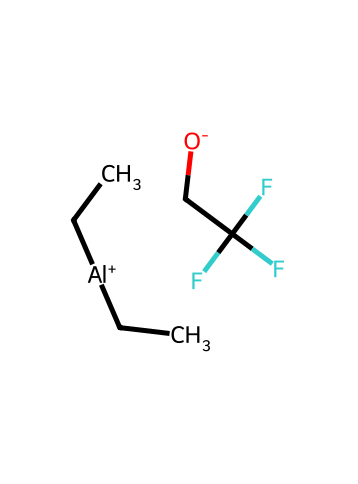 C[CH2][Al+][CH2]C.[O-]CC(F)(F)F